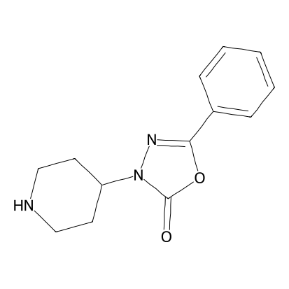 O=c1oc(-c2ccccc2)nn1C1CCNCC1